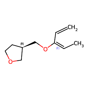 C=C/C(=C\C)OC[C@@H]1CCOC1